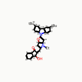 CCn1c(/C=C2\C(=O)c3ccccc3C2O)cc2oc(-n3c4ccc(C(C)(C)C)cc4c4cc(C(C)(C)C)ccc43)cc21